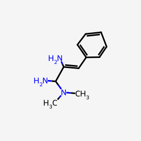 CN(C)C(N)C(N)=Cc1ccccc1